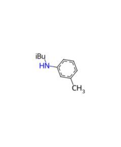 CCC(C)Nc1cccc(C)c1